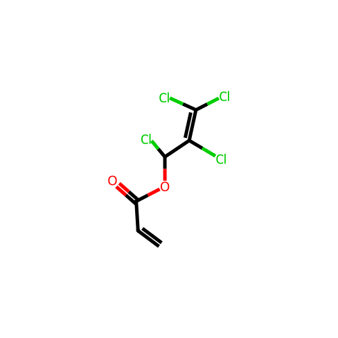 C=CC(=O)OC(Cl)C(Cl)=C(Cl)Cl